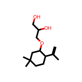 C=C(C)C1CCC(C)(C)CC1OCC(O)CO